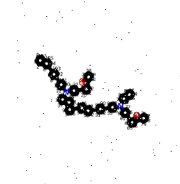 c1ccc2cc(-c3ccc(-c4ccc(N(c5ccc(-c6cccc7c6oc6ccccc67)cc5)c5cccc6c5ccc5c(-c7ccc8cc(-c9ccc(-c%10ccc(N(c%11ccc(-c%12cccc%13c%12oc%12ccccc%12%13)cc%11)c%11ccc%12ccccc%12c%11)cc%10)cc9)ccc8c7)cccc56)cc4)cc3)ccc2c1